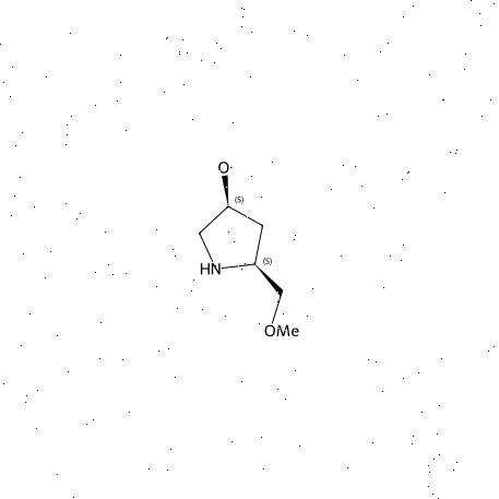 COC[C@@H]1C[C@H]([O])CN1